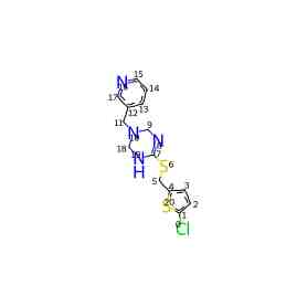 Clc1ccc(CSC2=NCN(Cc3cccnc3)CN2)s1